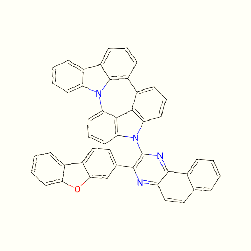 c1ccc2c(c1)ccc1nc(-c3ccc4c(c3)oc3ccccc34)c(-n3c4cccc5c6cccc7c8ccccc8n(c8cccc3c8c54)c67)nc12